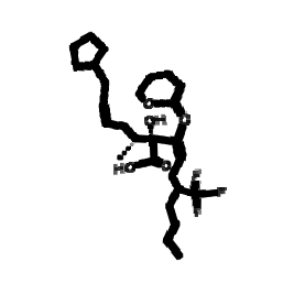 CCCCC(C/C=C(/OC1CCCCO1)[C@@](O)(C(=O)O)[C@H](C)C/C=C\CC1CCCC1)C(F)(F)F